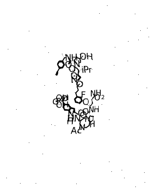 C#Cc1ccc([C@H](C)NC(=O)[C@@H]2C[C@@H](O)CN2C(=O)[C@@H](c2cc(OCCCc3cccc(OC[C@H](CCC(N)=O)NC(=O)[C@@H]4CC[C@@H]5CCN(C(C)=O)C[C@H](NC(=O)c6cc7cc(C(=O)P(=O)(O)O)ccc7[nH]6)C(=O)N54)c3F)no2)C(C)C)cc1